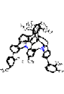 Cc1ccc(-c2ccc3c4ccc(-c5ccc(C)cc5C)cc4n(-c4cc(C#N)cc(-n5c6cc(-c7ccc(C)cc7C)ccc6c6ccc(-c7cccc(C)c7C)cc65)c4-c4ccc(C(F)(F)F)cc4C(F)(F)F)c3c2)c(C)c1